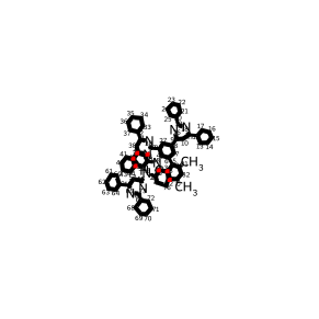 Cc1cc(C)c(-c2cc(-c3cc(-c4ccccc4)nc(-c4ccccc4)n3)cc(-c3nc(-c4ccccc4)cc(-c4ccccc4)n3)c2N2c3ccccc3N(c3cc(-c4ccccc4)nc(-c4ccccc4)n3)c3ccccc32)c(C)c1